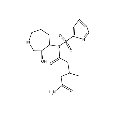 CC([CH]C(=O)N(C1CCCNC[C@@H]1O)S(=O)(=O)c1ccccn1)CC(N)=O